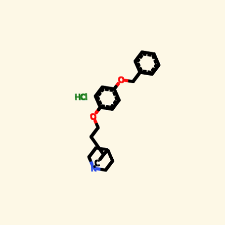 Cl.c1ccc(COc2ccc(OCCC3CN4CCC3CC4)cc2)cc1